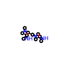 c1ccc(N(c2ccc(-c3ccc(N(c4ccccc4)c4ccccc4-c4cccc5[nH]c6ccccc6c45)cc3)cc2)c2ccccc2-c2cccc3[nH]c4ccccc4c23)cc1